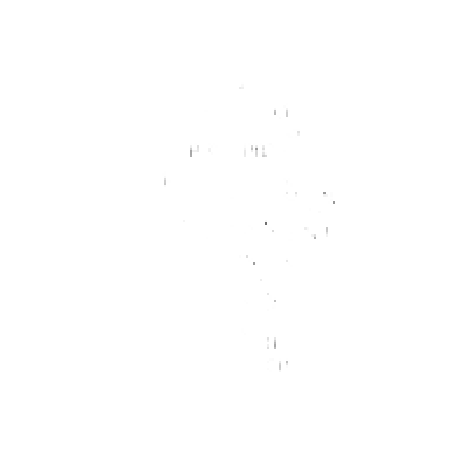 Cc1cccc(Cl)c1NC(=O)c1cnc(Nc2nc(-c3ccc(F)cc3)nc(N3CCN(C)CC3)n2)o1